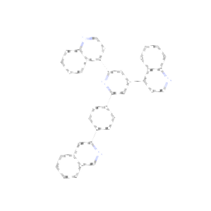 c1ccc2cc(-c3ccc(-c4cc(-c5ccnc6ccccc56)cc(-c5ccnc6ccccc56)n4)cc3)ncc2c1